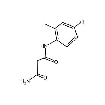 Cc1cc(Cl)ccc1NC(=O)CC(N)=O